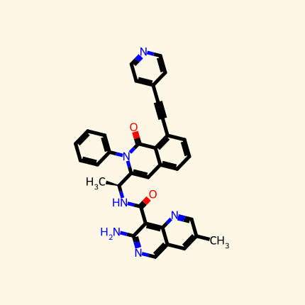 Cc1cnc2c(C(=O)N[C@@H](C)c3cc4cccc(C#Cc5ccncc5)c4c(=O)n3-c3ccccc3)c(N)ncc2c1